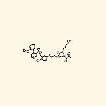 CC(=O)NCCN(CCCSc1ccc(Cl)c(COC2(c3cnccc3-c3ccccc3OC3CC3)CC2)c1)C(=O)C(O)CCCCO